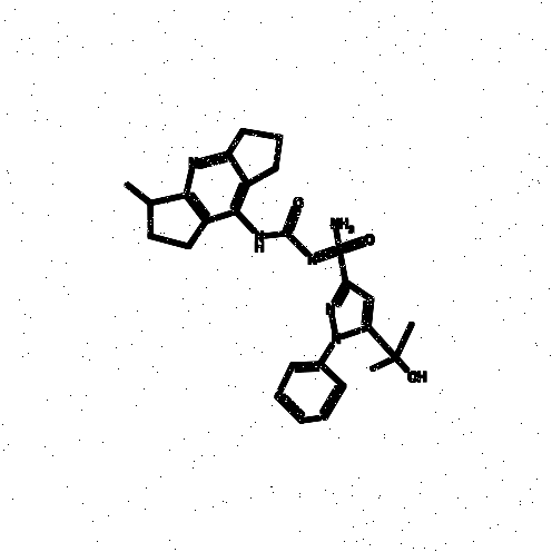 CC1CCc2c1nc1c(c2NC(=O)N=S(N)(=O)c2cc(C(C)(C)O)n(-c3ccccc3)n2)CCC1